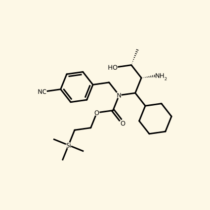 C[C@@H](O)[C@H](N)C(C1CCCCC1)N(Cc1ccc(C#N)cc1)C(=O)OCC[Si](C)(C)C